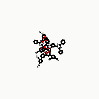 [C-]#[N+]c1ccc(-c2ccc3c(c2)c2cc(-c4ccc(C#N)cc4C#N)ccc2n3-c2ccc(-c3nc(-c4ccccc4)nc(-c4ccccc4)n3)cc2-c2cccc(-c3cc(-c4nc(-c5ccccc5)nc(-c5ccccc5)n4)ccc3-n3c4ccc(-c5ccc([N+]#[C-])cc5C#N)cc4c4cc(-c5ccc(C#N)cc5[N+]#[C-])ccc43)c2)c(C#N)c1